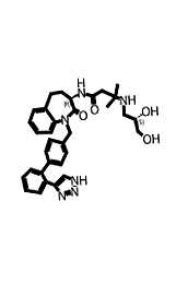 CC(C)(CC(=O)N[C@@H]1CCc2ccccc2N(Cc2ccc(-c3ccccc3-c3c[nH]nn3)cc2)C1=O)NC[C@H](O)CO